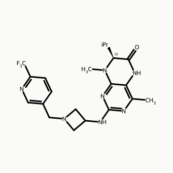 Cc1nc(NC2CN(Cc3ccc(C(F)(F)F)nc3)C2)nc2c1NC(=O)[C@H](C(C)C)N2C